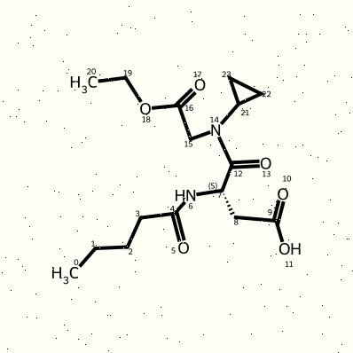 CCCCC(=O)N[C@@H](CC(=O)O)C(=O)N(CC(=O)OCC)C1CC1